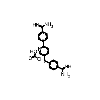 CC(=O)O.N=C(N)c1ccc(Cc2ccc(-c3ccc(C(=N)N)cc3)nc2)cc1